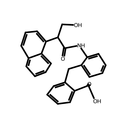 O=C(O)c1ccccc1Cc1ccccc1NC(=O)C(CO)c1cccc2ccccc12